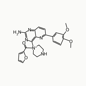 COc1ccc(-c2ccc3nc(N)nc([N+]4(C(=O)c5ccco5)CCNCC4)c3n2)cc1OC